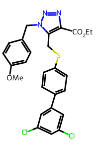 CCOC(=O)c1nnn(Cc2ccc(OC)cc2)c1CSc1ccc(-c2cc(Cl)cc(Cl)c2)cc1